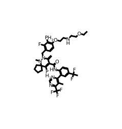 C=C1C(C(=O)Nc2ccc(C(C)(F)F)cc2-c2ncnc(C(F)(F)F)c2C)=C(P)C2(CCCC2)N(C)N1Cc1ccc(OCCNCCOCC)c(P)c1F